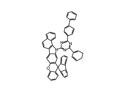 C1=CC(c2nc(-c3ccc(-c4ccccc4)cc3)nc(-n3c4cc5c(cc4c4ccc6ccccc6c43)Oc3ccccc3C53c4ccccc4-c4ccccc43)n2)=CCC1